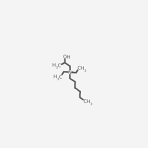 CCCCCC[N+](CC)(CC)CC(C)O